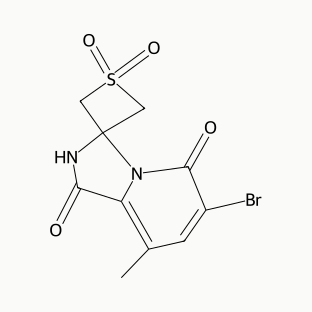 Cc1cc(Br)c(=O)n2c1C(=O)NC21CS(=O)(=O)C1